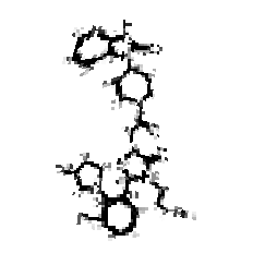 CC(C)(C)CCN1C(=O)[C@H](CC(=O)N2CCC(n3c(=O)[nH]c4ncccc43)CC2)SC1c1cccc(F)c1N1CCC(F)C1